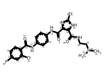 CCc1nc(C(=O)Nc2ccc(NC(=O)c3ccc(F)cc3Cl)cc2)c(C(=O)NCCN(C)C)[nH]1